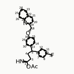 CC(=O)OC(=N)CCC(c1ccc(F)cc1)c1ccc(OCc2ccc3ccccc3n2)cc1